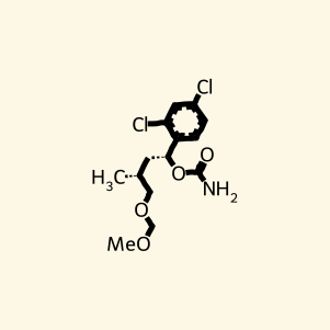 COCOC[C@H](C)C[C@@H](OC(N)=O)c1ccc(Cl)cc1Cl